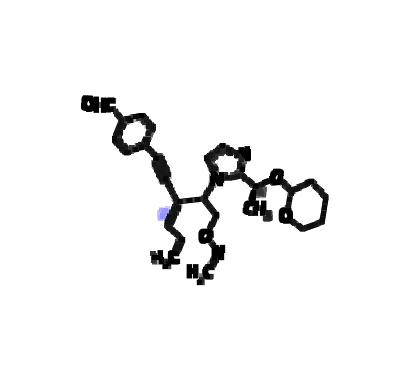 C=C/C=C(/C#Cc1ccc(C=O)cc1)C(CON=C)n1ccnc1[C@H](C)OC1CCCCO1